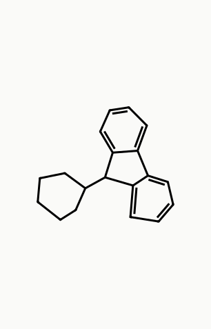 c1ccc2c(c1)-c1ccccc1C2C1CCCCC1